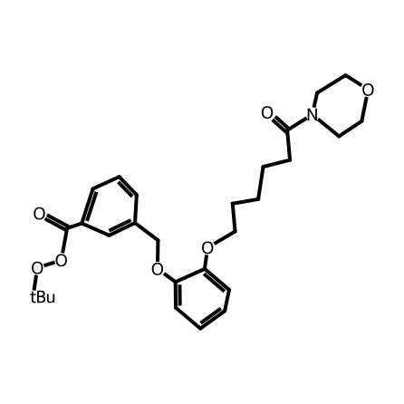 CC(C)(C)OOC(=O)c1cccc(COc2ccccc2OCCCCCC(=O)N2CCOCC2)c1